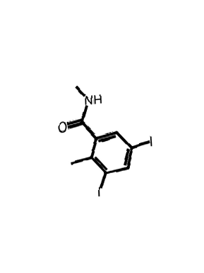 CNC(=O)c1cc(I)cc(I)c1C